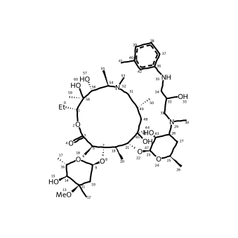 CC[C@H]1OC(=O)[C@H](C)[C@@H](O[C@H]2C[C@@](C)(OC)[C@@H](O)[C@H](C)O2)[C@H](C)[C@@H](O[C@@H]2O[C@H](C)CC(N(C)CC(O)CNc3cccc(C)c3)[C@H]2O)[C@](C)(O)C[C@@H](C)CN(C)[C@H](C)[C@@H](O)[C@]1(C)O